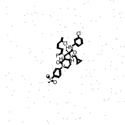 C=C(Cl)/C=C\C=C(/F)[C@H]1[C@@H]2C(=O)N(c3ccc(S(C)(=O)=O)cc3)CC[C@@H]2N(CC2CC2)[C@@]1(C)C(=O)Nc1cccc(Cl)c1